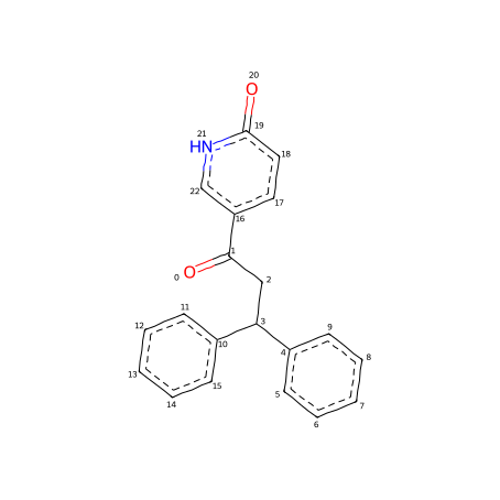 O=C(CC(c1ccccc1)c1ccccc1)c1ccc(=O)[nH]c1